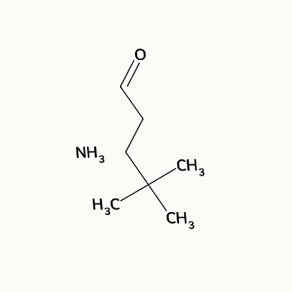 CC(C)(C)CCC=O.N